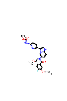 COCCN(C(=O)c1ccc(F)c(OC)c1)c1ccc2ncc(-c3ccc(NC(=O)OC)nc3)n2c1